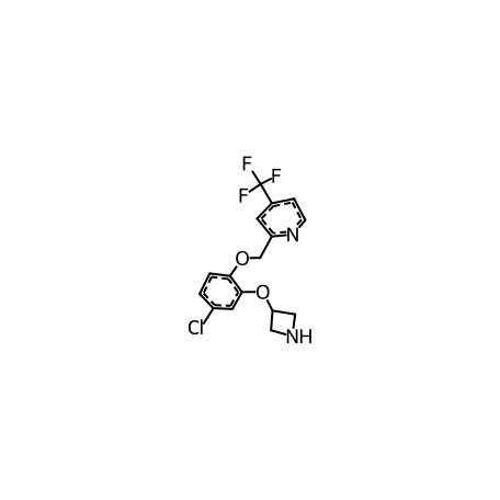 FC(F)(F)c1ccnc(COc2ccc(Cl)cc2OC2CNC2)c1